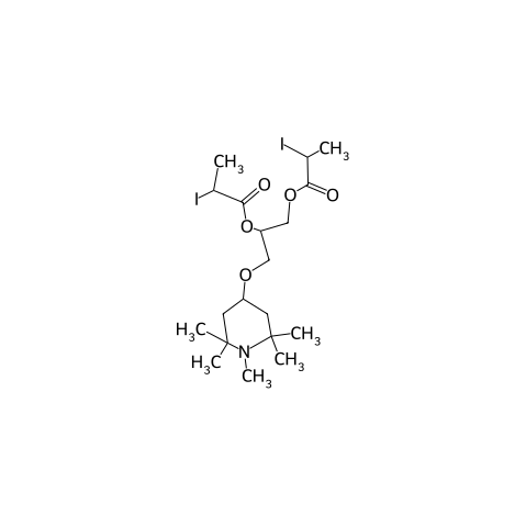 CC(I)C(=O)OCC(COC1CC(C)(C)N(C)C(C)(C)C1)OC(=O)C(C)I